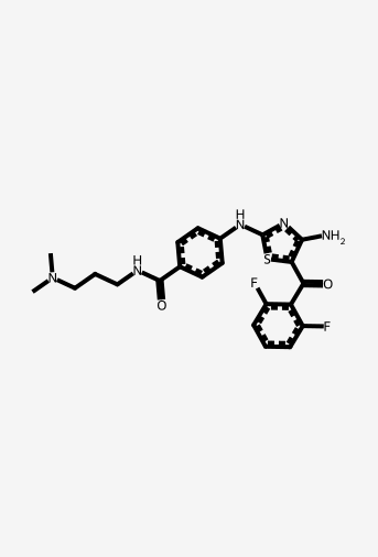 CN(C)CCCNC(=O)c1ccc(Nc2nc(N)c(C(=O)c3c(F)cccc3F)s2)cc1